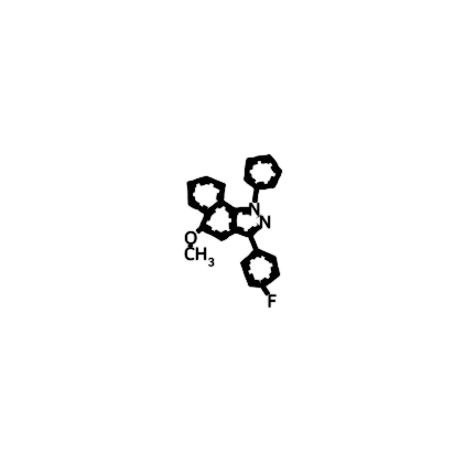 COc1cc2c(-c3ccc(F)cc3)nn(-c3ccccc3)c2c2ccccc12